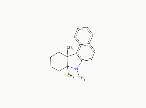 CN1c2ccc3ccccc3c2C2(C)CCCCC12C